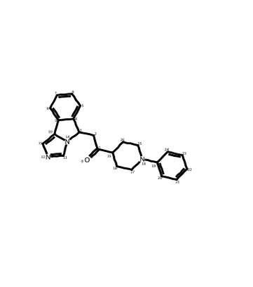 O=C(CC1c2ccccc2-c2cncn21)C1CCN(c2ccccc2)CC1